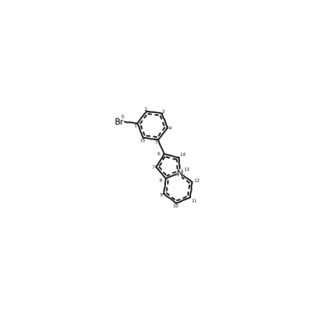 Brc1cccc(-c2cc3ccccn3c2)c1